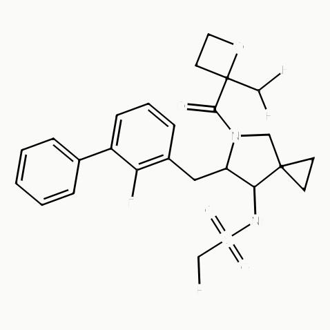 O=C(N1CC2(CC2)C(NS(=O)(=O)CF)C1Cc1cccc(-c2ccccc2)c1F)C1(C(F)F)CCO1